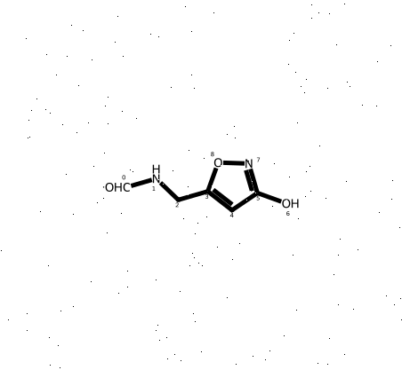 O=[C]NCc1cc(O)no1